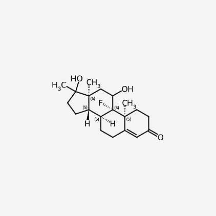 CC1(O)CC[C@H]2[C@@H]3CCC4=CC(=O)CC[C@]4(C)[C@]3(F)C(O)C[C@@]21C